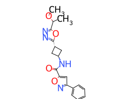 COC(C)c1nnc([C@H]2C[C@H](NC(=O)c3cc(-c4ccccc4)no3)C2)o1